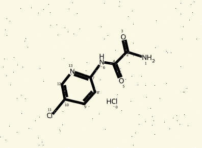 Cl.NC(=O)C(=O)Nc1ccc(Cl)cn1